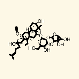 C#CO[C@@H]1C[C@@H]2[C@@]3(C)CC[C@H](O)C(C)(C)[C@@H]3[C@@H](O[C@@H]3OC(CO)[C@@H](O)CC3O[C@@H]3OC4[C@H](O)C4(O)C3O)C[C@@]2(C)[C@]2(C)CC[C@H]([C@@](C)(O)CCC=C(C)C)[C@@]12C